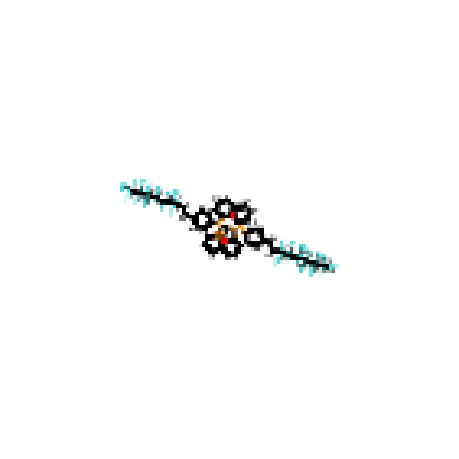 FC(F)(F)C(F)(F)C(F)(F)C(F)(F)C(F)(F)C(F)(F)CCc1ccc([PH]([Pt][PH](c2ccccc2)(c2ccccc2)c2ccc(CCC(F)(F)C(F)(F)C(F)(F)C(F)(F)C(F)(F)C(F)(F)F)cc2)(c2ccccc2)c2ccccc2)cc1